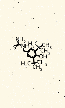 CC(C)(C)c1cc(CNC(N)=S)cc(C(C)(C)C)c1O